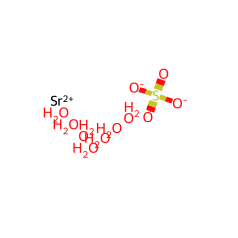 O.O.O.O.O.O.O.O=S(=O)([O-])[O-].[Sr+2]